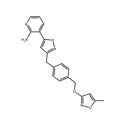 Cc1cc(OCc2ccc(Cc3cc(-c4cccnc4N)on3)cc2)no1